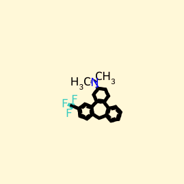 CN(C)C1CCC2=C(C1)c1cc(C(F)(F)F)ccc1Cc1ccccc12